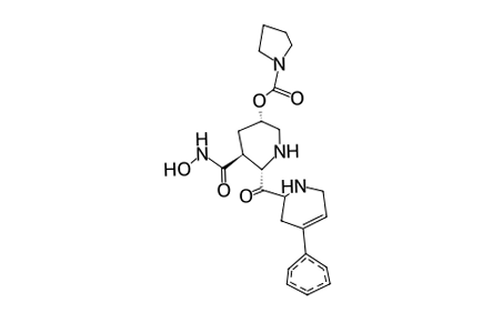 O=C(NO)[C@H]1C[C@H](OC(=O)N2CCCC2)CN[C@@H]1C(=O)C1CC(c2ccccc2)=CCN1